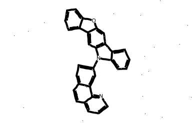 c1cnc2c(c1)ccc1ccc(-n3c4ccccc4c4cc5oc6ccccc6c5cc43)cc12